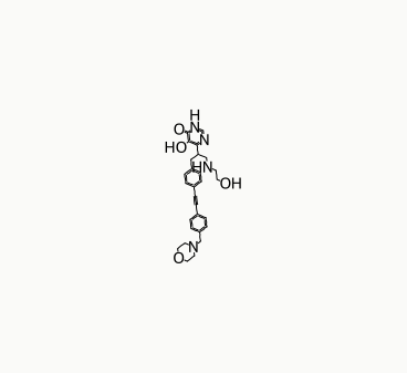 O=c1[nH]cnc(C(CNCCO)Cc2ccc(C#Cc3ccc(CN4CCOCC4)cc3)cc2)c1O